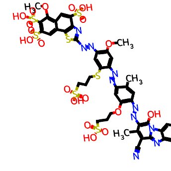 COc1cc(N=Nc2cc(OCCCS(=O)(=O)O)c(N=Nc3c(C)c(C#N)c4nc5ccccc5n4c3O)cc2C)c(SCCCS(=O)(=O)O)cc1N=Nc1nc2c(S(=O)(=O)O)cc3c(OC)c(S(=O)(=O)O)c(S(=O)(=O)O)cc3c2s1